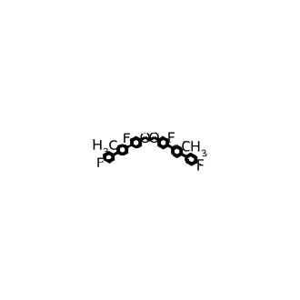 Cc1cc(-c2ccc(OCOc3ccc(-c4ccc(-c5ccc(F)cc5)c(C)c4)c(F)c3)cc2F)ccc1-c1ccc(F)cc1